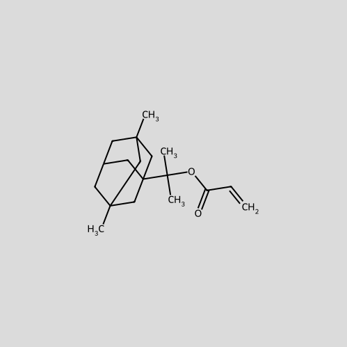 C=CC(=O)OC(C)(C)C12CC3CC(C)(CC(C)(C3)C1)C2